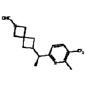 Cc1nc([C@@H](C)C2CC3(C2)CN(C=O)C3)ccc1C(F)(F)F